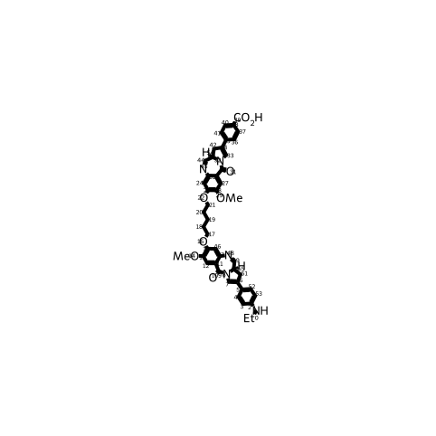 CCNc1ccc(C2=CN3C(=O)c4cc(OC)c(OCCCCCOc5cc6c(cc5OC)C(=O)N5C=C(c7ccc(C(=O)O)cc7)C[C@H]5C=N6)cc4N=C[C@@H]3C2)cc1